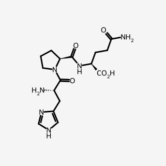 NC(=O)CC[C@H](NC(=O)[C@@H]1CCCN1C(=O)[C@@H](N)Cc1c[nH]cn1)C(=O)O